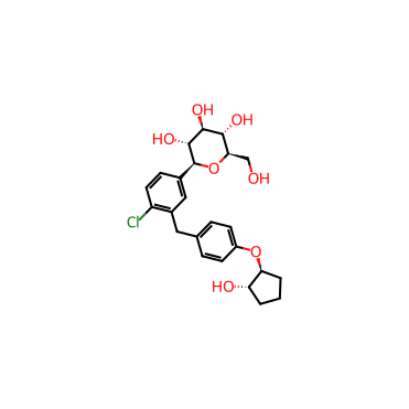 OC[C@H]1O[C@@H](c2ccc(Cl)c(Cc3ccc(O[C@H]4CCC[C@@H]4O)cc3)c2)[C@H](O)[C@@H](O)[C@@H]1O